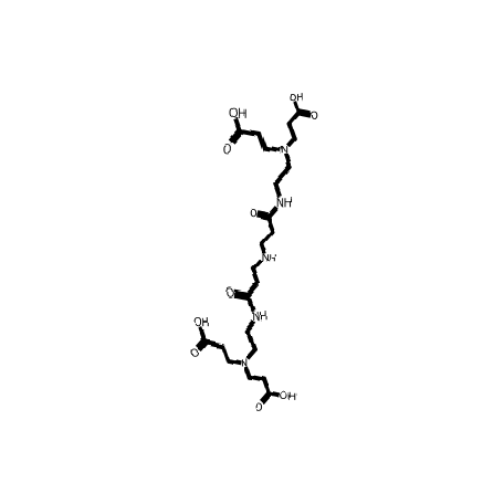 O=C(O)CCN(CCNC(=O)CCNCCC(=O)NCCN(CCC(=O)O)CCC(=O)O)CCC(=O)O